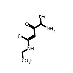 CCCC(N)C(=O)C=C(Cl)NCC(=O)O